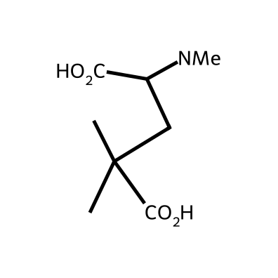 CNC(CC(C)(C)C(=O)O)C(=O)O